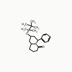 CC(C)(C)[Si](C)(C)OC1CC2CCCC(=O)N2C(c2ccccc2)C1